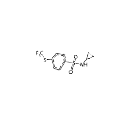 O=S(=O)(NC1CC1)c1ccc(SC(F)(F)F)cc1